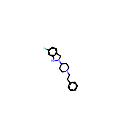 Fc1ccc2c(c1)NN(C1CCN(CCc3ccccc3)CC1)C2